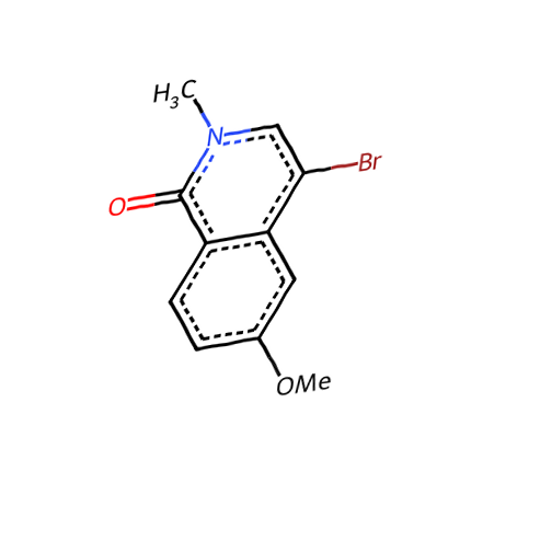 COc1ccc2c(=O)n(C)cc(Br)c2c1